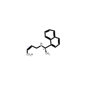 C[C@@H](NC/C=C\C(=O)O)c1cccc2ccccc12